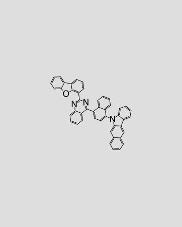 c1ccc2cc3c(cc2c1)c1ccccc1n3-c1ccc(-c2nc(-c3cccc4c3oc3ccccc34)nc3ccccc23)c2ccccc12